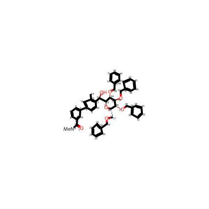 CNC(=O)c1cccc(-c2ccc([C@@H](O)[C@H]3O[C@@H](COCc4ccccc4)[C@@H](OCc4ccccc4)[C@H](OCc4ccccc4)[C@H]3OCc3ccccc3)c(C)c2)c1